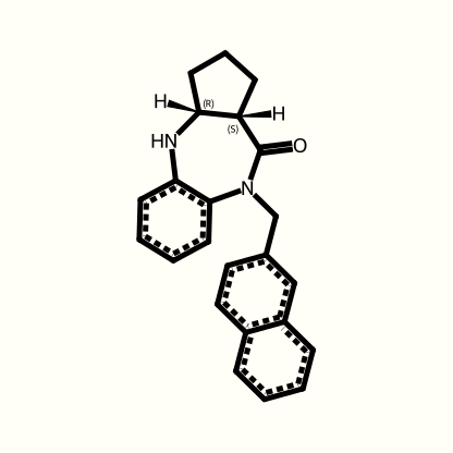 O=C1[C@H]2CCC[C@H]2Nc2ccccc2N1Cc1ccc2ccccc2c1